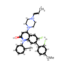 CC=CN1CCN(c2cc(=O)n(-c3ccccc3C(C)C)c3cc(-c4ccc(OC)cc4F)c(F)cc23)CC1